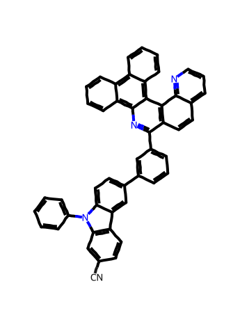 N#Cc1ccc2c3cc(-c4cccc(-c5nc6c7ccccc7c7ccccc7c6c6c5ccc5cccnc56)c4)ccc3n(-c3ccccc3)c2c1